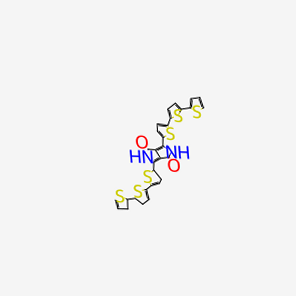 O=C1NC(C2CC=C(C3=CCC(C4CC=CS4)S3)S2)=C2C(=O)NC(c3ccc(-c4ccc(-c5cccs5)s4)s3)=C12